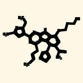 CC=CCc1nc(-c2cc(C)nn2CC)nc2[nH]c3c(OCCCO)cc(C(N)=O)c(-n4ccnc4)c3c12